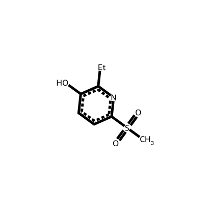 CCc1nc(S(C)(=O)=O)ccc1O